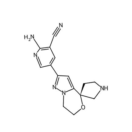 N#Cc1cc(-c2cc3n(n2)CCO[C@]32CCNC2)cnc1N